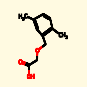 Cc1ccc(C)c(COCC(=O)O)c1